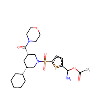 NC(OC(=O)C(F)(F)F)c1ccc(S(=O)(=O)N2C[C@@H](C(=O)N3CCOCC3)C[C@@H](C3CCCCC3)C2)s1